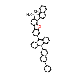 CC1(C)c2ccc3c(oc4cc(-c5c6ccccc6c(-c6ccc7cc(-c8ccccc8)ccc7c6)c6ccccc56)ccc43)c2-c2ccc3ccccc3c21